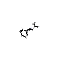 C=C(Br)/C=C/c1ccccc1